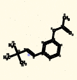 CC(=O)Oc1cccc(/C=C/C(C)(C)C)c1